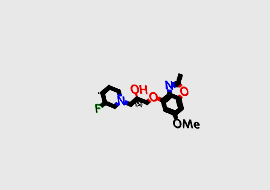 COc1cc(OC[C@@H](O)CN2CC[CH]C(F)C2)c2nc(C)oc2c1